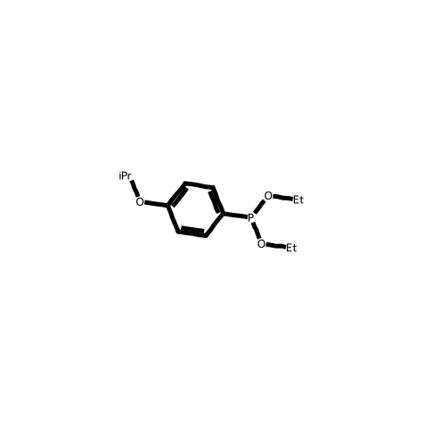 CCOP(OCC)c1ccc(OC(C)C)cc1